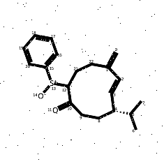 C=C1/C=C/[C@H](C(C)C)CCC(=O)C([S+]([O-])c2ccccc2)CC1